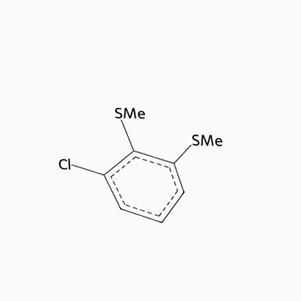 CSc1cccc(Cl)c1SC